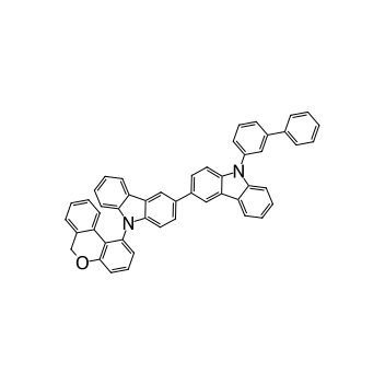 c1ccc(-c2cccc(-n3c4ccccc4c4cc(-c5ccc6c(c5)c5ccccc5n6-c5cccc6c5-c5ccccc5CO6)ccc43)c2)cc1